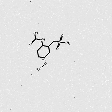 CO[C@@H]1CCC(NC(=O)O)C(CS(C)(=O)=O)C1